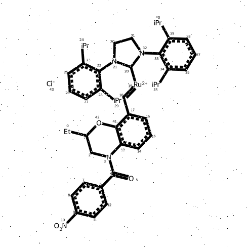 CCC1CN(C(=O)c2ccc([N+](=O)[O-])cc2)c2cccc([CH]=[Ru+2][CH]3N(c4c(C(C)C)cccc4C(C)C)CCN3c3c(C(C)C)cccc3C(C)C)c2O1.[Cl-]